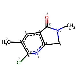 Cc1cc2c(nc1Cl)CN(C)C2=O